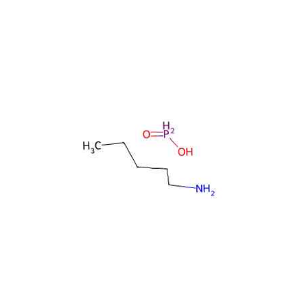 CCCCCN.O=[PH2]O